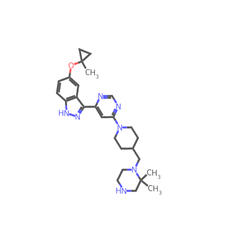 CC1(Oc2ccc3[nH]nc(-c4cc(N5CCC(CN6CCNCC6(C)C)CC5)ncn4)c3c2)CC1